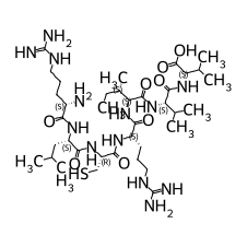 CC[C@H](C)[C@H](NC(=O)[C@H](CCCNC(=N)N)NC(=O)[C@H](CS)NC(=O)[C@H](CC(C)C)NC(=O)[C@@H](N)CCCNC(=N)N)C(=O)N[C@H](C(=O)N[C@H](C(=O)O)C(C)C)C(C)C